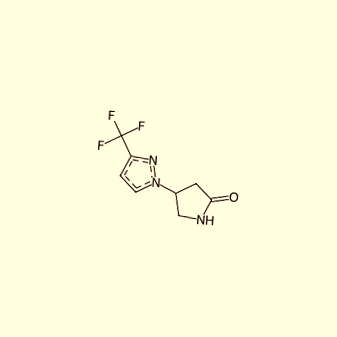 O=C1CC(n2ccc(C(F)(F)F)n2)CN1